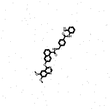 COc1cc2ncnc(Oc3ccc4c(C(=O)NCc5ccc(C(=O)Nc6ccccc6N)cc5)cccc4c3)c2cc1OC